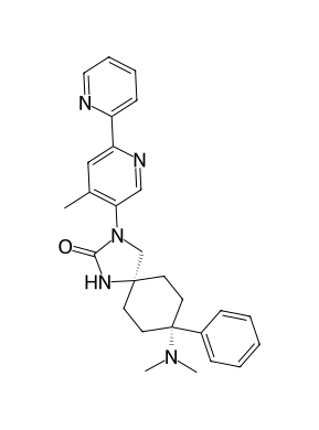 Cc1cc(-c2ccccn2)ncc1N1C[C@]2(CC[C@@](c3ccccc3)(N(C)C)CC2)NC1=O